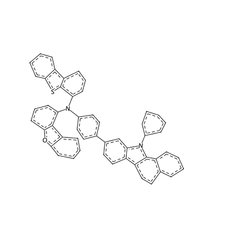 c1ccc(-n2c3cc(-c4ccc(N(c5cccc6c5sc5ccccc56)c5cccc6oc7ccccc7c56)cc4)ccc3c3ccc4ccccc4c32)cc1